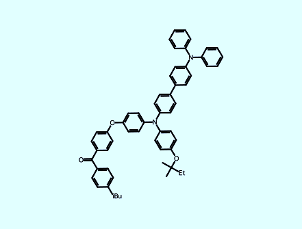 CCC(C)c1ccc(C(=O)c2ccc(Oc3ccc(N(c4ccc(OC(C)(C)CC)cc4)c4ccc(-c5ccc(N(c6ccccc6)c6ccccc6)cc5)cc4)cc3)cc2)cc1